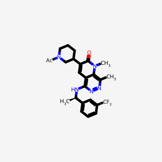 CC(=O)N1CCCC(c2cc3c(N[C@H](C)c4cccc(C(F)(F)F)c4)nnc(C)c3n(C)c2=O)C1